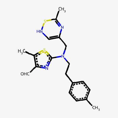 CC1=NC(CN(CCc2ccc(C)cc2)c2nc(C=O)c(C)s2)=CNS1